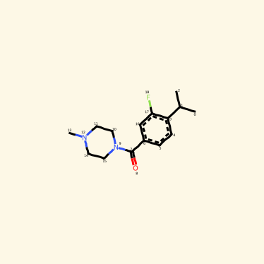 CC(C)c1ccc(C(=O)N2CCN(C)CC2)cc1F